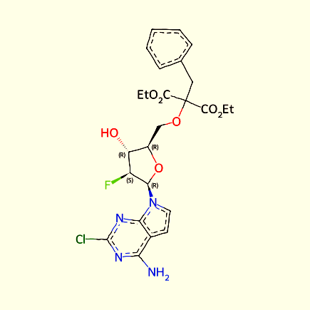 CCOC(=O)C(Cc1ccccc1)(OC[C@H]1O[C@@H](n2ccc3c(N)nc(Cl)nc32)[C@@H](F)[C@@H]1O)C(=O)OCC